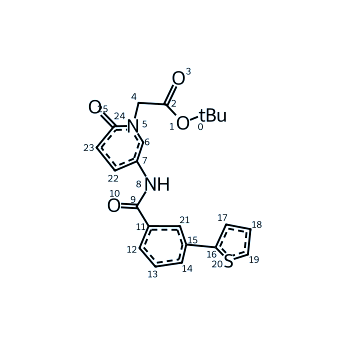 CC(C)(C)OC(=O)Cn1cc(NC(=O)c2cccc(-c3cccs3)c2)ccc1=O